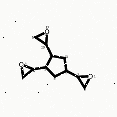 C1OC1C1CC(C2CO2)C(C2CO2)C1